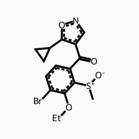 CCOc1c(Br)ccc(C(=O)c2cnoc2C2CC2)c1[S+](C)[O-]